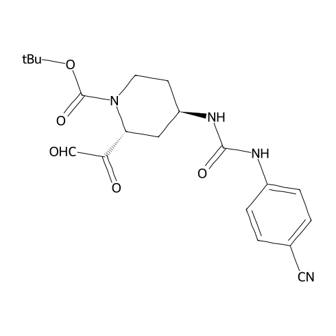 CC(C)(C)OC(=O)N1CC[C@@H](NC(=O)Nc2ccc(C#N)cc2)C[C@@H]1C(=O)C=O